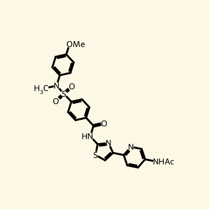 COc1ccc(N(C)S(=O)(=O)c2ccc(C(=O)Nc3nc(-c4ccc(NC(C)=O)cn4)cs3)cc2)cc1